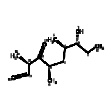 CC[C@@H](O)[C@H](C)C[C@@H](C)C(=O)[C@H](C)C=O